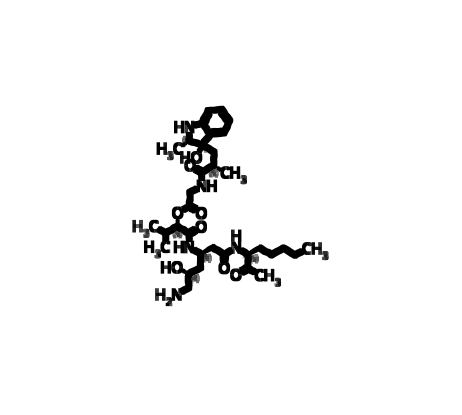 CCCCC[C@H](NC(=O)C[C@@H](C[C@@H](O)CN)NC(=O)[C@@H](OC(=O)CNC(=O)[C@@H](C)C[C@@]1(O)c2ccccc2N[C@H]1C)C(C)C)C(C)=O